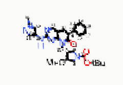 CO[C@@H]1CN(C(=O)OC(C)(C)C)C[C@H]1Cn1c(=O)c(-c2ccccc2)cc2cnc(Nc3cnn(C)c3)nc21